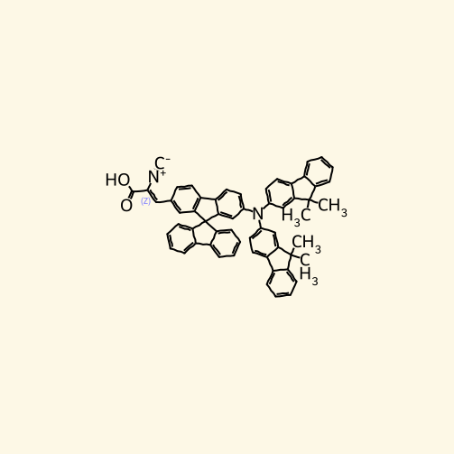 [C-]#[N+]/C(=C\c1ccc2c(c1)C1(c3ccccc3-c3ccccc31)c1cc(N(c3ccc4c(c3)C(C)(C)c3ccccc3-4)c3ccc4c(c3)C(C)(C)c3ccccc3-4)ccc1-2)C(=O)O